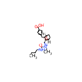 CCCCNC(=O)N(CC)N=C[C@H]1[C@@H](Cc2ccc(C(=O)O)cc2)[C@H]2CC[C@@H]1O2